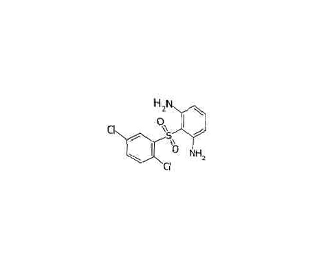 Nc1cccc(N)c1S(=O)(=O)c1cc(Cl)ccc1Cl